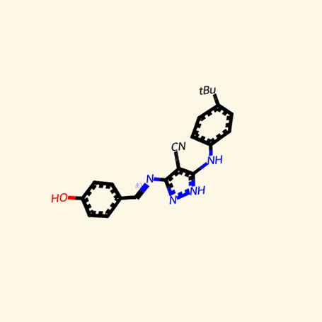 CC(C)(C)c1ccc(Nc2[nH]nc(/N=C/c3ccc(O)cc3)c2C#N)cc1